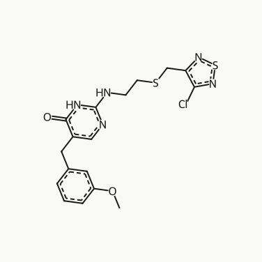 COc1cccc(Cc2cnc(NCCSCc3nsnc3Cl)[nH]c2=O)c1